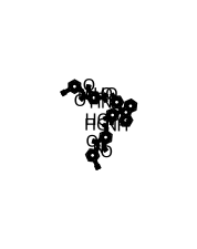 C#Cc1cccc(N2C(=O)c3ccc(C(=O)Nc4cc(C5(c6ccc(O)c(NC(O)c7ccc8c(c7)C(=O)N(c7cccc(C#C)c7)C8=O)c6)c6ccccc6-c6ccccc65)ccc4O)cc3C2=O)c1